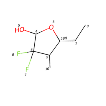 CC[C@H]1OC(O)C(F)(F)C1C